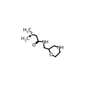 C=S(C)CC(=O)NCC1CNCCO1